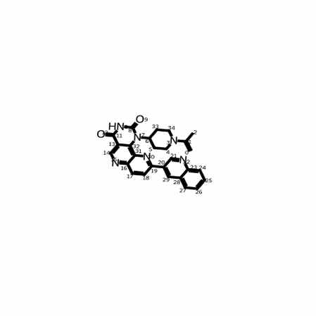 C=C(C)N1CCC(n2c(=O)[nH]c(=O)c3cnc4ccc(-c5cnc6ccccc6c5)nc4c32)CC1